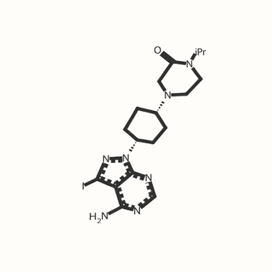 CC(C)N1CCN([C@H]2CC[C@@H](n3nc(I)c4c(N)ncnc43)CC2)CC1=O